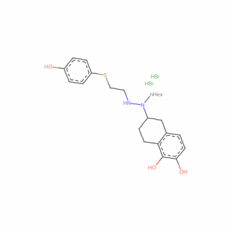 Br.Br.CCCCCCN(NCCSc1ccc(O)cc1)C1CCc2c(ccc(O)c2O)C1